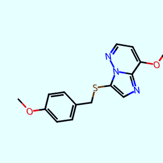 COc1ccc(CSc2cnc3c(OC)ccnn23)cc1